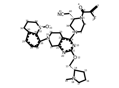 C=C(F)C(=O)N1CCN(c2nc(OC[C@@H]3CCCN3C)nc3c2CCN(c2cccc4c2[S+]([O-])CCC4)C3)C[C@@H]1CC#N